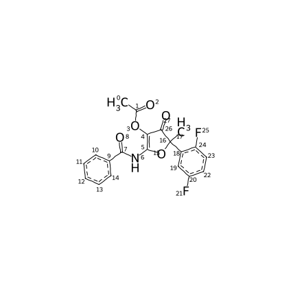 CC(=O)OC1=C(NC(=O)c2ccccc2)OC(C)(c2cc(F)ccc2F)C1=O